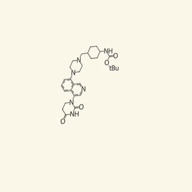 CC(C)(C)OC(=O)NC1CCC(CN2CCN(c3cccc4c(N5CCC(=O)NC5=O)cncc34)CC2)CC1